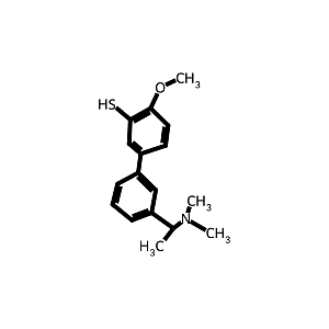 COc1ccc(-c2cccc(C(C)N(C)C)c2)cc1S